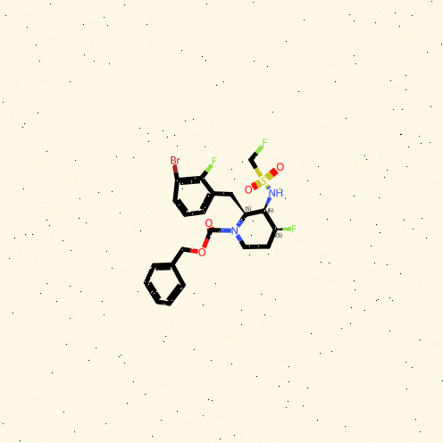 O=C(OCc1ccccc1)N1CC[C@H](F)[C@H](NS(=O)(=O)CF)[C@@H]1Cc1cccc(Br)c1F